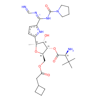 CC(C)(C)[C@H](N)C(=O)O[C@H]1[C@@H](O)[C@](C)(c2ccc(/C(=N\C=N)NC(=O)N3CCCC3)[nH]2)O[C@@H]1COC(=O)CC1CCC1